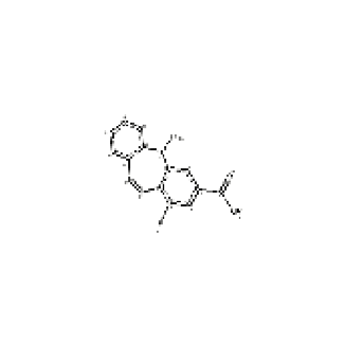 O=C(O)c1cc(F)c2c(c1)[S+]([O-])c1ccccc1C=C2